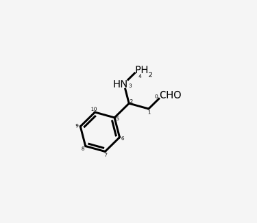 O=CCC(NP)c1ccccc1